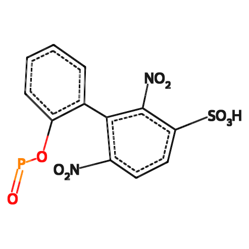 O=POc1ccccc1-c1c([N+](=O)[O-])ccc(S(=O)(=O)O)c1[N+](=O)[O-]